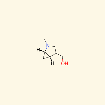 CN1CC(CO)[C@@H]2C[C@@H]21